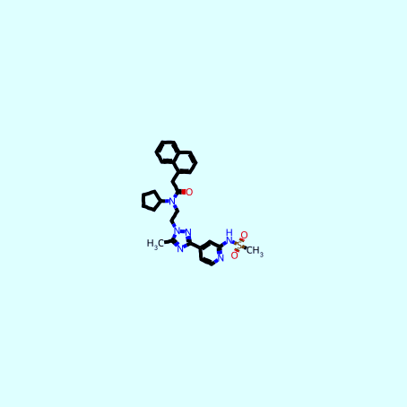 Cc1nc(-c2ccnc(NS(C)(=O)=O)c2)nn1CCN(C(=O)Cc1cccc2ccccc12)C1CCCC1